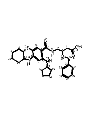 O=C(O)CC(CNC(=O)c1cc(F)c(NC2CCCCC2)cc1NC1CCCC1)OCc1ccccc1